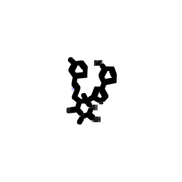 Cc1cccc(/C=C/CC2C(=O)N(C)C(=N)NC2(C)c2cc(-c3cccc(C#N)c3)cs2)c1